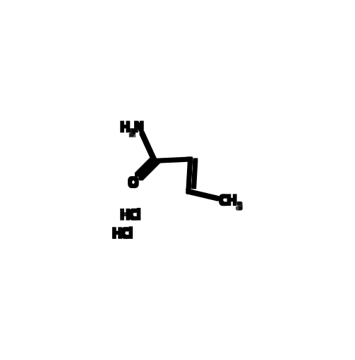 CC=CC(N)=O.Cl.Cl